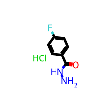 Cl.NNC(=O)c1ccc(F)cc1